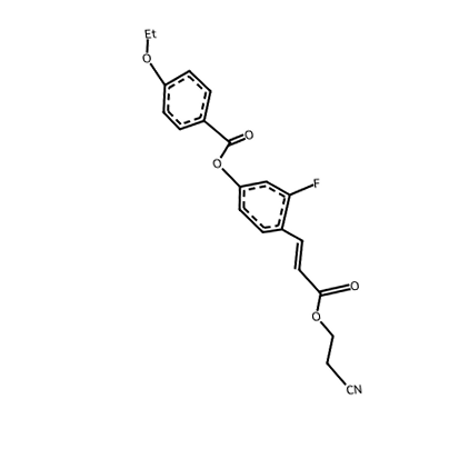 CCOc1ccc(C(=O)Oc2ccc(/C=C/C(=O)OCCC#N)c(F)c2)cc1